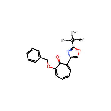 CC(C)[Si](c1nc(-c2ccccc(OCc3ccccc3)c2=O)co1)(C(C)C)C(C)C